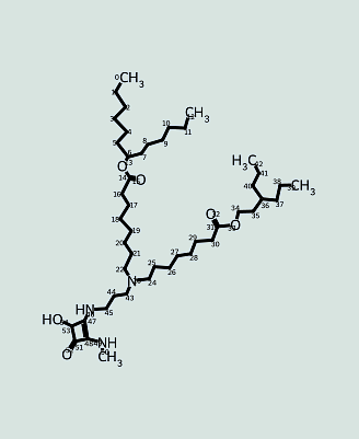 CCCCCCC(CCCCCC)OC(=O)CCCCCCCN(CCCCCCCC(=O)OCCC(CCC)CCC)CCCNC1=C(NC)C(=O)C1O